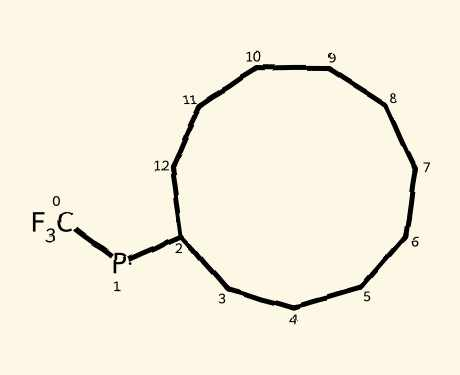 FC(F)(F)[P]C1CCCCCCCCCC1